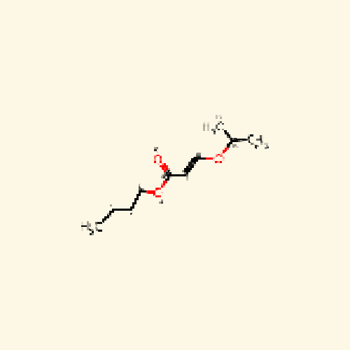 CCCCOC(=O)C=COC(C)C